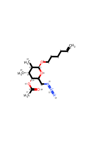 C=CCCCCO[C@H]1OC(CN=[N+]=[N-])[C@H](OC(C)=O)[C@H](C)C1C